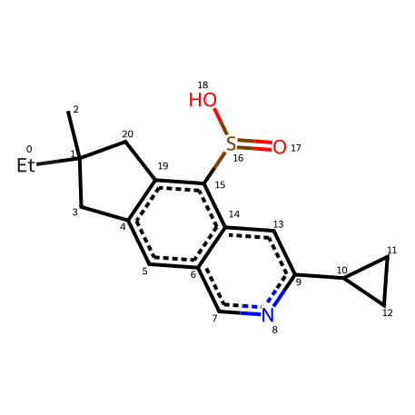 CCC1(C)Cc2cc3cnc(C4CC4)cc3c(S(=O)O)c2C1